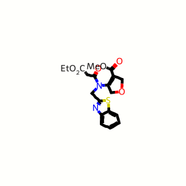 CCOC(=O)CC(=O)N(Cc1nc2ccccc2s1)C1=C(C(=O)OC)COC1